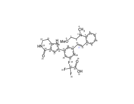 COCCN(C)c1ccccc1/C=C/c1cc(-c2cc3c([nH]2)CCNC3=O)ccn1.O=C(O)C(F)(F)F